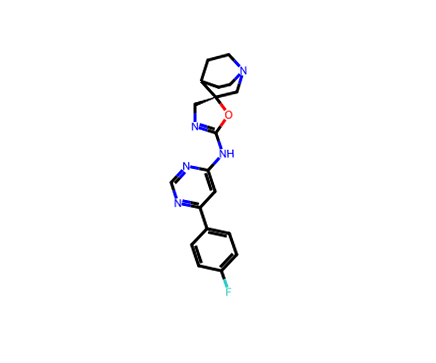 Fc1ccc(-c2cc(NC3=NC[C@@]4(CN5CCC4CC5)O3)ncn2)cc1